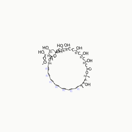 CO[C@H]1/C=C/C=C/C=C/C=C/C=C/C=C/C=C/[C@H](C)[C@@H](O)[C@@H](C)[C@H](C)OC(=O)C[C@H](O)C[C@H](O)C[C@H](O)CC[C@@H](O)[C@H](O)C[C@]2(O)C[C@H](O)[C@@H](C(=O)O)[C@H](C1)O2